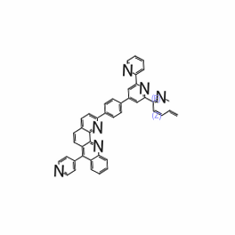 C=C/C=C\C(=N/C)c1cc(-c2ccc(-c3ccc4ccc5c(-c6ccncc6)c6ccccc6nc5c4n3)cc2)cc(-c2ccccn2)n1